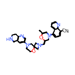 CC1CN(c2ccc(C#N)c3ncccc23)CC(CN2CC3(C2)CN(c2cnc4c(c2)CNCC4)CCO3)O1